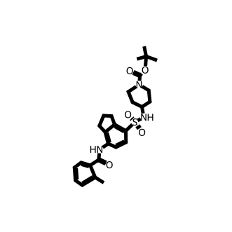 Cc1ccccc1C(=O)Nc1ccc(S(=O)(=O)NC2CCN(C(=O)OC(C)(C)C)CC2)c2c1CCC2